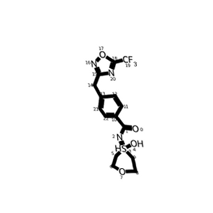 O=C(N=[SH]1(O)CCOCC1)c1ccc(Cc2noc(C(F)(F)F)n2)cc1